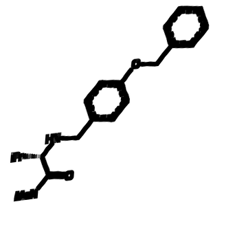 CNC(=O)[C@@H](NCc1ccc(OCc2ccccc2)cc1)C(C)C